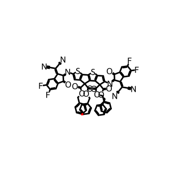 N#CC(C#N)=C1/C(=N/C2=Cc3sc4c(c3C2(C(=O)OCc2ccccc2)C(=O)OCc2ccccc2)C(C(=O)OCc2ccccc2)(C(=O)OCc2ccccc2)c2cc(/N=C3\C(=O)c5cc(F)c(F)cc5C3=C(C#N)C#N)sc2-4)C(=O)c2cc(F)c(F)cc21